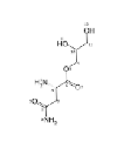 NC(=O)C[C@H](N)C(=O)OCC(O)CO